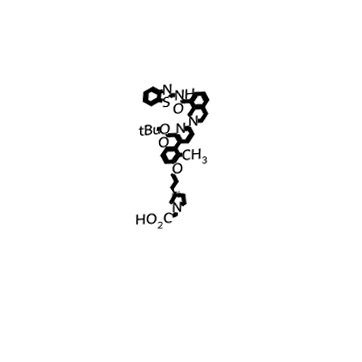 Cc1c(OCCC[C@H]2CCN(CC(=O)O)C2)cccc1-c1ccc(N2CCc3cccc(C(=O)Nc4nc5ccccc5s4)c3C2)nc1C(=O)OC(C)(C)C